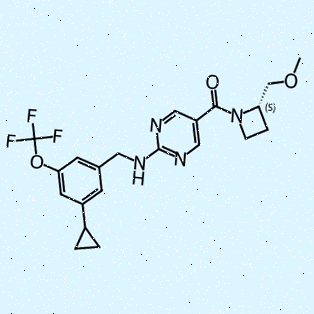 COC[C@@H]1CCN1C(=O)c1cnc(NCc2cc(OC(F)(F)F)cc(C3CC3)c2)nc1